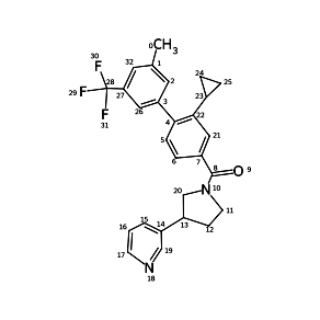 Cc1cc(-c2ccc(C(=O)N3CCC(c4cccnc4)C3)cc2C2CC2)cc(C(F)(F)F)c1